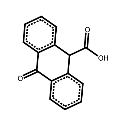 O=C1c2ccccc2C(C(=O)O)c2ccccc21